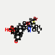 CC(C)C(NC(=O)C[C@@H](C)C1CC[C@H]2C3[C@H](OS(=O)(=O)O)CC4CC(=O)CCC4(C)[C@H]3CCC12C)c1ccc(Br)s1